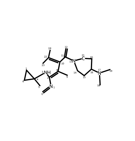 C=N/C(NC1(C)CC1)=C(\C)C(C(=C)N1CCC(N(C)C)CC1)=C(C)C